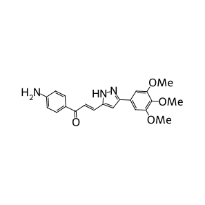 COc1cc(-c2cc(C=CC(=O)c3ccc(N)cc3)[nH]n2)cc(OC)c1OC